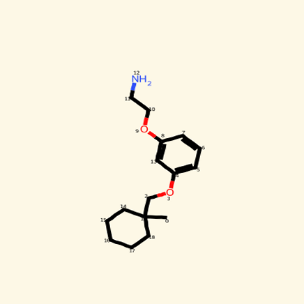 CC1(COc2cccc(OCCN)c2)CCCCC1